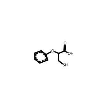 O=C(O)C(CS)Oc1ccccc1